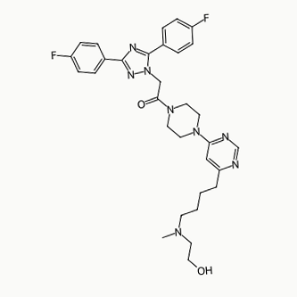 CN(CCO)CCCCc1cc(N2CCN(C(=O)Cn3nc(-c4ccc(F)cc4)nc3-c3ccc(F)cc3)CC2)ncn1